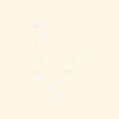 COc1cc(-c2cc(Nc3ccc(Oc4ccnc(C(N)=O)c4)cc3)nc(N)n2)ccc1N